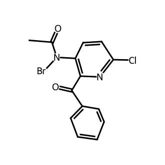 CC(=O)N(Br)c1ccc(Cl)nc1C(=O)c1ccccc1